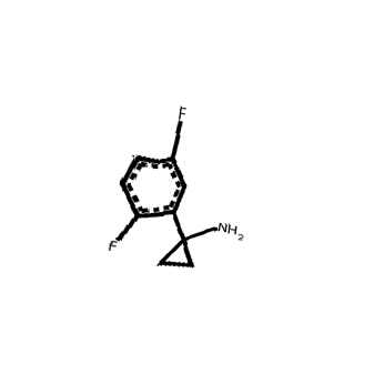 NC1(c2cc(F)[c]cc2F)CC1